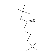 CC(C)(C)CCCC(=O)OC(C)(C)C